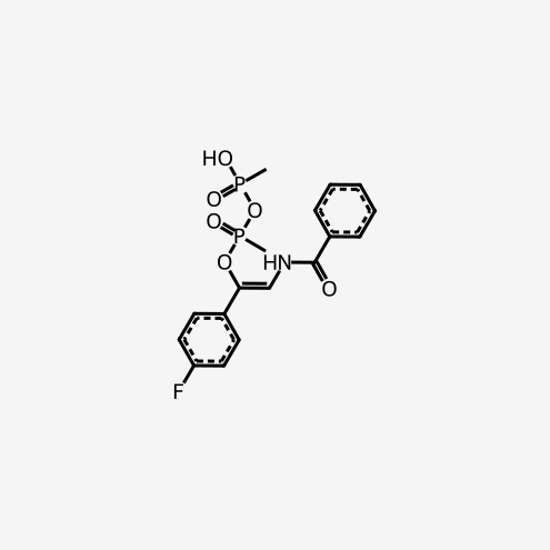 CP(=O)(O)OP(C)(=O)OC(=CNC(=O)c1ccccc1)c1ccc(F)cc1